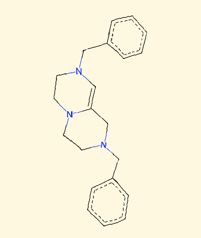 C1=C2CN(Cc3ccccc3)CCN2CCN1Cc1ccccc1